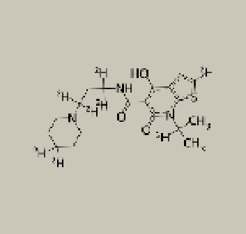 [2H]c1cc2c(O)c(C(=O)NC([2H])([2H])CC([2H])([2H])N3CCC([2H])([2H])CC3)c(=O)n(C([2H])(C)C)c2s1